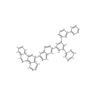 c1ccc(-c2cccc(-c3cc(-c4ccc5cc(-c6cc7c8ccccc8ccc7c7ccccc67)ccc5c4)nc(-c4ccccc4)n3)c2)cc1